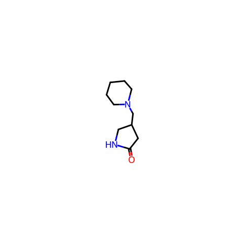 O=C1CC(CN2CCCCC2)CN1